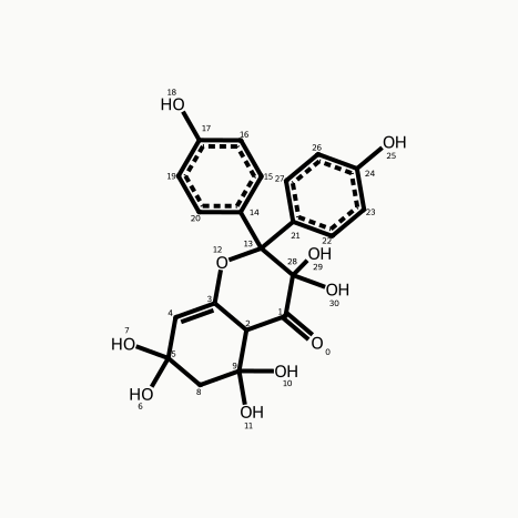 O=C1C2C(=CC(O)(O)CC2(O)O)OC(c2ccc(O)cc2)(c2ccc(O)cc2)C1(O)O